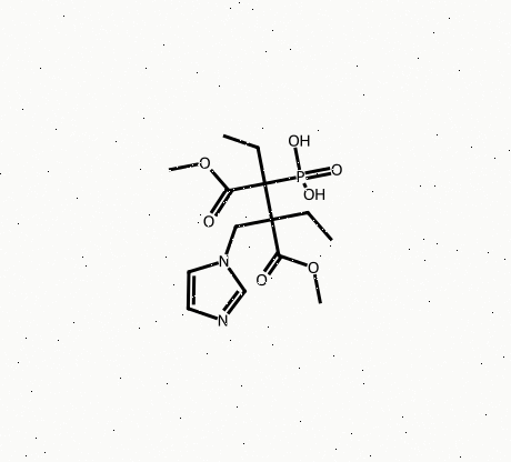 CCC(Cn1ccnc1)(C(=O)OC)C(CC)(C(=O)OC)P(=O)(O)O